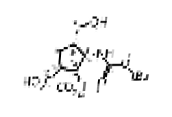 CC(C)(C)OC(=O)N[C@H]1[C@@H](CO)CC(C(=O)O)[C@@H]1C(=O)O